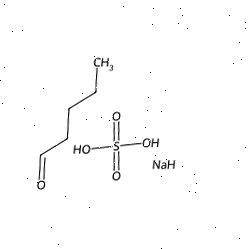 CCCCC=O.O=S(=O)(O)O.[NaH]